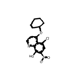 O=[N+]([O-])c1cc(Cl)c2c(OC3CCCCC3)ccnc2c1O